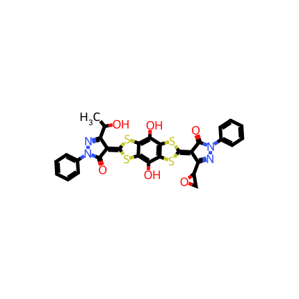 CC(O)C1=NN(c2ccccc2)C(=O)C1=C1Sc2c(O)c3c(c(O)c2S1)SC(=C1C(=O)N(c2ccccc2)N=C1C1CO1)S3